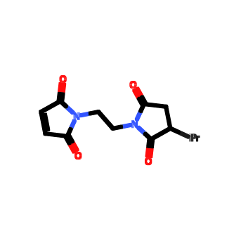 CC(C)C1CC(=O)N(CCN2C(=O)C=CC2=O)C1=O